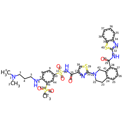 CN(C)CCCNc1ccc(S(=O)(=O)NC(=O)c2csc(N3CCc4cccc(C(=O)Nc5nc6ccccc6s5)c4C3)n2)cc1S(=O)(=O)C(F)(F)F